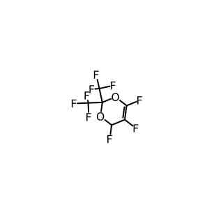 FC1=C(F)C(F)OC(C(F)(F)F)(C(F)(F)F)O1